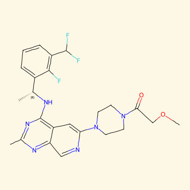 COCC(=O)N1CCN(c2cc3c(N[C@H](C)c4cccc(C(F)F)c4F)nc(C)nc3cn2)CC1